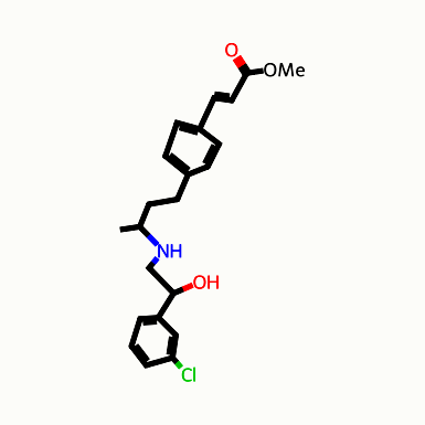 COC(=O)C=Cc1ccc(CCC(C)NCC(O)c2cccc(Cl)c2)cc1